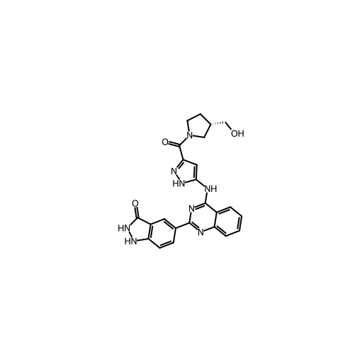 O=C(c1cc(Nc2nc(-c3ccc4[nH][nH]c(=O)c4c3)nc3ccccc23)[nH]n1)N1CC[C@H](CO)C1